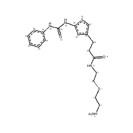 CC(=O)NCCOCCNC(=O)CCc1csc(NC(=O)Nc2ccccc2)n1